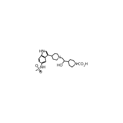 CS(=O)(=O)Nc1ccc2[nH]cc(C3CCN(CC(O)C4CCN(C(=O)O)CC4)CC3)c2c1